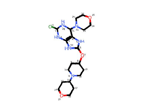 ClC1NC2=C(NC(OC3CCN(C4CCOCC4)CC3)N2)C(N2CCOCC2)N1